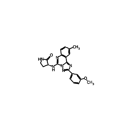 COc1cccc(-c2nc3c4cc(C)ccc4nc(N[C@H]4CCNC4=O)n3n2)c1